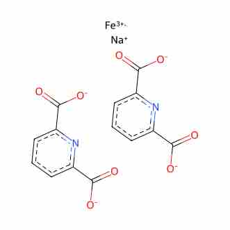 O=C([O-])c1cccc(C(=O)[O-])n1.O=C([O-])c1cccc(C(=O)[O-])n1.[Fe+3].[Na+]